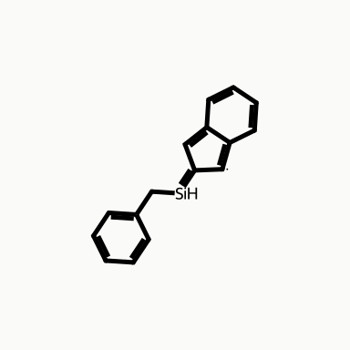 [C]1=c2ccccc2=CC1=[SiH]Cc1ccccc1